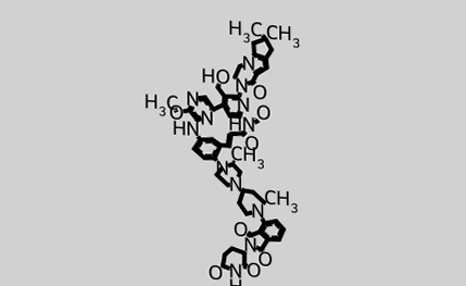 COc1ncc(-c2ccnc(N3CCn4c(cc5c4CC(C)(C)C5)C3=O)c2CO)nc1Nc1ccc(N2CCN(C3CCN(c4cccc5c4C(=O)N(C4CCC(=O)NC4=O)C5=O)[C@@H](C)C3)C[C@@H]2C)c(C=CC(=O)NC=O)c1